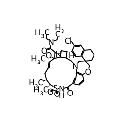 CCN(CC)C(=O)C[C@]1(OC)/C=C/C[C@H](C)[C@@H](C)S(=O)(=O)NC(=O)c2ccc3c(c2)N(C[C@@H]2CC[C@H]21)C[C@@]1(CCCc2cc(Cl)ccc21)CO3